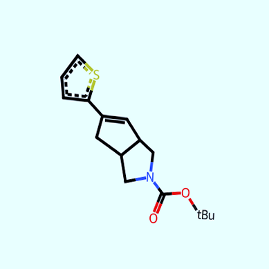 CC(C)(C)OC(=O)N1CC2C=C(c3cccs3)CC2C1